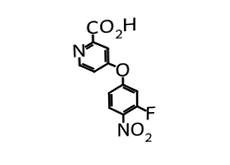 O=C(O)c1cc(Oc2ccc([N+](=O)[O-])c(F)c2)ccn1